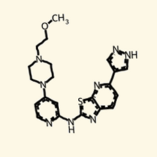 COCCN1CCN(c2ccnc(Nc3nc4ccc(-c5cn[nH]c5)nc4s3)c2)CC1